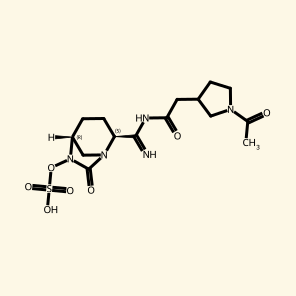 CC(=O)N1CCC(CC(=O)NC(=N)[C@@H]2CC[C@@H]3CN2C(=O)N3OS(=O)(=O)O)C1